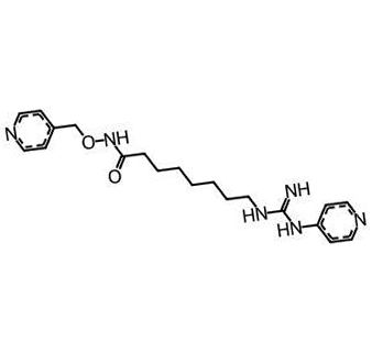 N=C(NCCCCCCCC(=O)NOCc1ccncc1)Nc1ccncc1